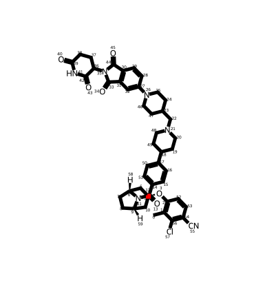 Cc1c(O[C@H]2C[C@H]3CC[C@@H](C2)N3C(=O)c2ccc(C3CCN(CC4CCN(c5ccc6c(c5)C(=O)N(C5CCC(=O)NC5=O)C6=O)CC4)CC3)cc2)ccc(C#N)c1Cl